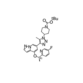 Cc1c(-c2cc(O[C@H](C)c3ccc(F)cn3)c3ccnn3c2)nnn1C1CCN(C(=O)OC(C)(C)C)CC1